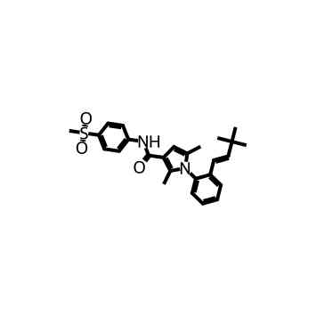 Cc1cc(C(=O)Nc2ccc(S(C)(=O)=O)cc2)c(C)n1-c1ccccc1C=CC(C)(C)C